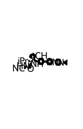 Cc1ccsc1[C@@H](N[C@@H](CC(C)C)C(=O)NCC#N)c1ccc(-c2ccc(N3CCN(C4CC4)CC3)cc2)cc1